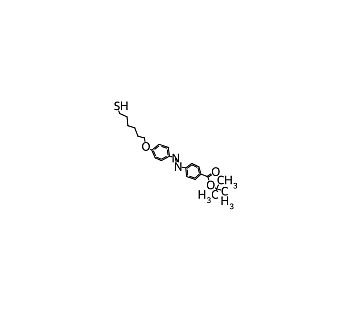 CC(C)(C)OC(=O)c1ccc(N=Nc2ccc(OCCCCCCS)cc2)cc1